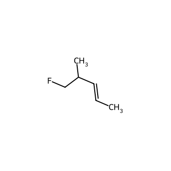 CC=CC(C)CF